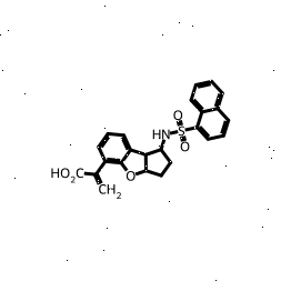 C=C(C(=O)O)c1cccc2c1OC1CCC(NS(=O)(=O)c3cccc4ccccc34)C21